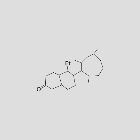 CCC1C2CCC(=O)CC2CCC1C1C(C)CCCC(C)CC1C